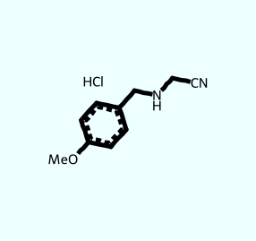 COc1ccc(CNCC#N)cc1.Cl